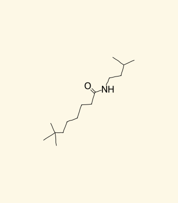 CC(C)CCNC(=O)CCCCCC(C)(C)C